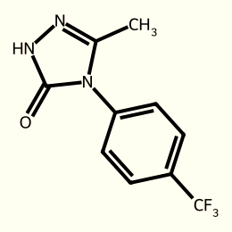 Cc1n[nH]c(=O)n1-c1ccc(C(F)(F)F)cc1